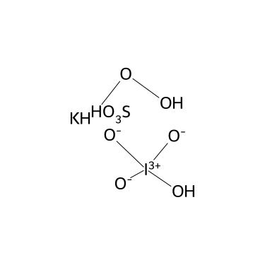 O=S(=O)(O)OO.[KH].[O-][I+3]([O-])([O-])O